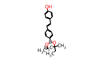 CCOB(OC(C)(C)CC)c1ccc(/C=C/c2ccc(O)cc2)cc1